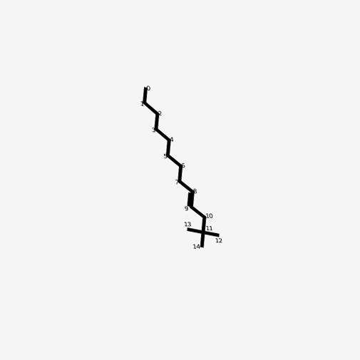 CCCCCCCC/C=C/CC(C)(C)C